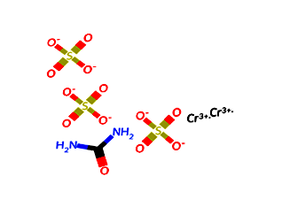 NC(N)=O.O=S(=O)([O-])[O-].O=S(=O)([O-])[O-].O=S(=O)([O-])[O-].[Cr+3].[Cr+3]